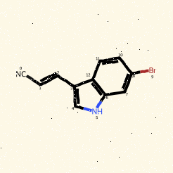 N#C/C=C/c1c[nH]c2cc(Br)ccc12